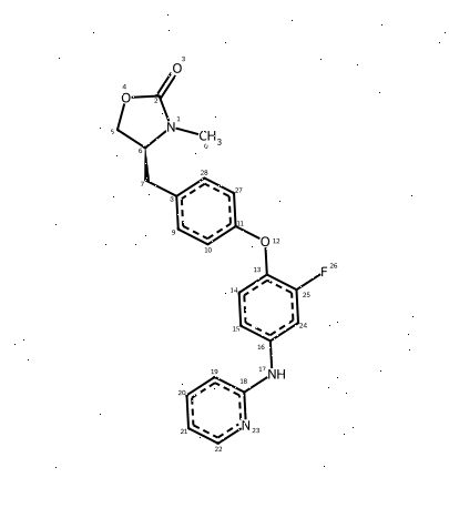 CN1C(=O)OC[C@@H]1Cc1ccc(Oc2ccc(Nc3ccccn3)cc2F)cc1